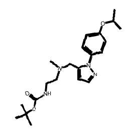 CC(C)Oc1ccc(-n2nccc2CN(C)CCNC(=O)OC(C)(C)C)cc1